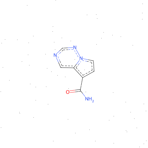 NC(=O)c1ccn2ncncc12